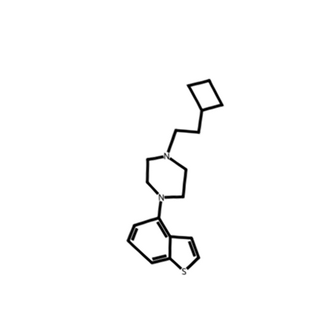 c1cc(N2CCN(CCC3CCC3)CC2)c2ccsc2c1